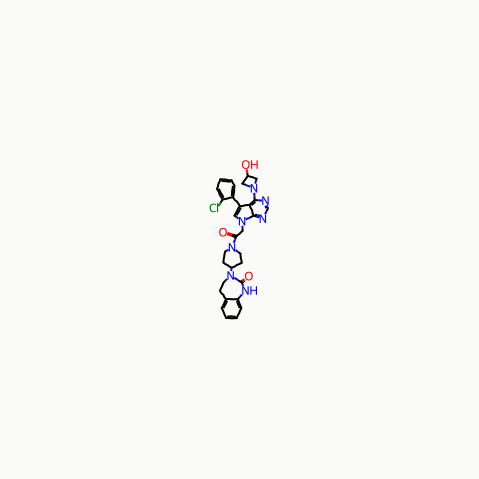 O=C(Cn1cc(-c2ccccc2Cl)c2c(N3CC(O)C3)ncnc21)N1CCC(N2CCc3ccccc3NC2=O)CC1